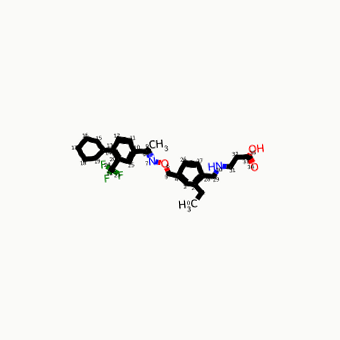 CCc1cc(CO/N=C(\C)c2ccc(C3CCCCC3)c(C(F)(F)F)c2)ccc1CNCCC(=O)O